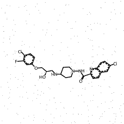 O=C(NN1CCC(NC[C@@H](O)COc2ccc(Cl)c(F)c2)CC1)c1ccc2cc(Cl)ccc2n1